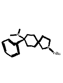 CCCCN1CCC2(CCC(c3ccccc3)(N(C)C)CC2)C1